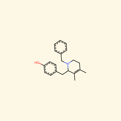 CC1=C(C)C(Cc2ccc(O)cc2)N(Cc2ccccc2)CC1